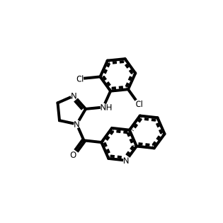 O=C(c1cnc2ccccc2c1)N1CCN=C1Nc1c(Cl)cccc1Cl